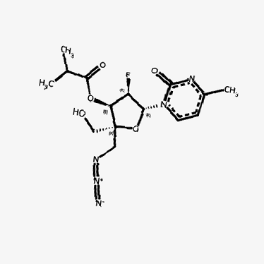 Cc1ccn([C@@H]2O[C@@](CO)(CN=[N+]=[N-])[C@@H](OC(=O)C(C)C)[C@H]2F)c(=O)n1